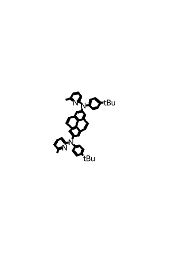 Cc1cccc(N(c2ccc(C(C)(C)C)cc2)c2cc3ccc4cc(N(c5ccc(C(C)(C)C)cc5)c5cccc(C)n5)cc5ccc(c2)c3c45)n1